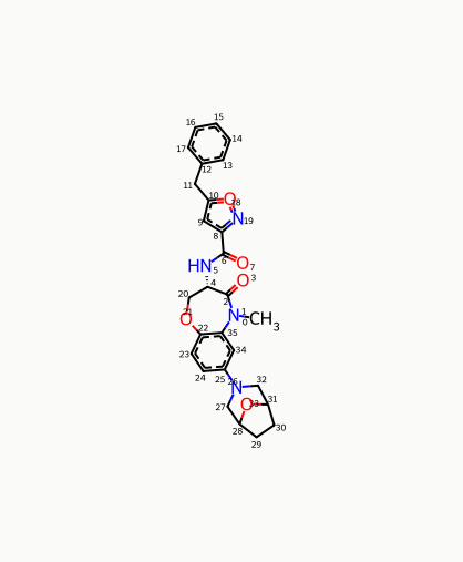 CN1C(=O)[C@@H](NC(=O)c2cc(Cc3ccccc3)on2)COc2ccc(N3CC4CCC(C3)O4)cc21